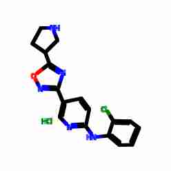 Cl.Clc1ccccc1Nc1ccc(-c2noc(C3CCNC3)n2)cn1